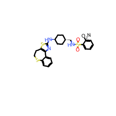 O=[N+]([O-])c1ccccc1S(=O)(=O)NC[C@H]1CC[C@H](Nc2nc3c(s2)CCSc2ccccc2-3)CC1